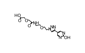 O=C(O)COCC(=O)NCCOCCn1cc(-c2cnc(O)nc2)nn1